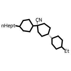 CCCCCCCC1CCC([C@]2(C#N)CC[C@@H](C3CCC(CC)CC3)CC2)CC1